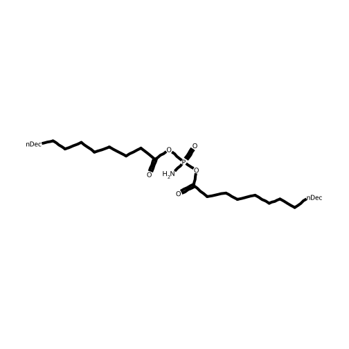 CCCCCCCCCCCCCCCCCC(=O)OP(N)(=O)OC(=O)CCCCCCCCCCCCCCCCC